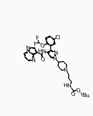 CC(C)(C)OC(=O)NCCCN1CCC(n2cc(NC(=O)c3cnn4cccnc34)c(-c3cc(Cl)ccc3OC(F)F)n2)CC1